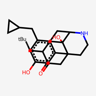 CC(C)(C)CC1CC2(O)C3Cc4c(CC5CC5)cc(O)cc4C2(CCN3)CC1=O